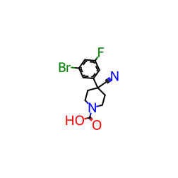 N#CC1(c2cc(F)cc(Br)c2)CCN(C(=O)O)CC1